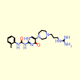 Cc1ccccc1NC(=O)Nc1nc(=O)c(N2CCCN(CCCNC(=N)N)CC2)c[nH]1